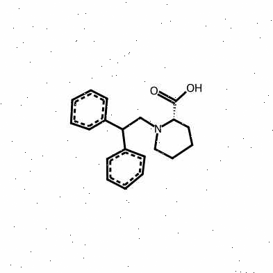 O=C(O)[C@@H]1CCCCN1CC(c1ccccc1)c1ccccc1